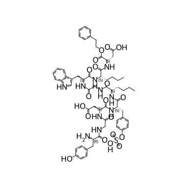 CCCC[C@H](NC(=O)[C@H](Cc1ccc(OS(=O)(=O)O)cc1)NC(=O)[C@H](CC(=O)O)NC(=O)CNC(=O)[C@H](N)Cc1ccc(O)cc1)C(=O)NCC(=O)N[C@@H](Cc1c[nH]c2ccccc12)C(=O)N[C@@H](CCCC)C(=O)N[C@@H](CC(=O)O)C(=O)OCCc1ccccc1